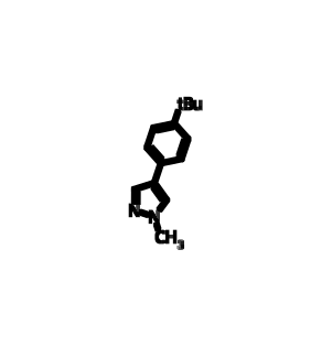 Cn1cc(-c2ccc(C(C)(C)C)cc2)cn1